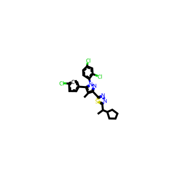 Cc1c(-c2nnc(C(C)C3CCCC3)s2)nn(-c2ccc(Cl)cc2Cl)c1-c1ccc(Cl)cc1